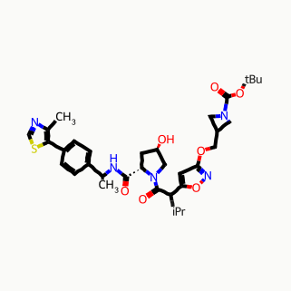 Cc1ncsc1-c1ccc([C@H](C)NC(=O)[C@@H]2C[C@@H](O)CN2C(=O)C(c2cc(OCC3CN(C(=O)OC(C)(C)C)C3)no2)C(C)C)cc1